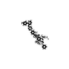 CN(C)CC[C@H](CSc1ccccc1)Nc1ccc(S(=O)(=O)NC(=O)c2ccc(N3CCN(Cc4cccnc4-c4ccc(F)cc4)CC3)cc2)cc1[N+](=O)[O-]